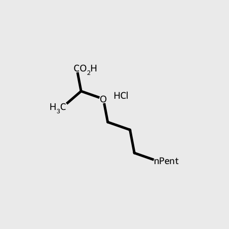 CCCCCCCCOC(C)C(=O)O.Cl